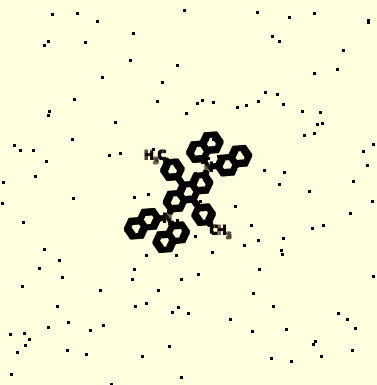 Cc1ccc(-c2c3ccc(N(c4ccc5ccccc5c4)c4cccc5ccccc45)cc3c(-c3ccc(C)cc3)c3ccc(N(c4ccc5ccccc5c4)c4cccc5ccccc45)cc23)cc1